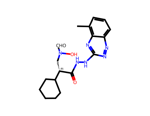 Cc1cccc2nnc(NNC(=O)[C@@H](CN(O)C=O)C3CCCCC3)nc12